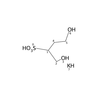 O=S(=O)(O)C(CO)CCO.[KH]